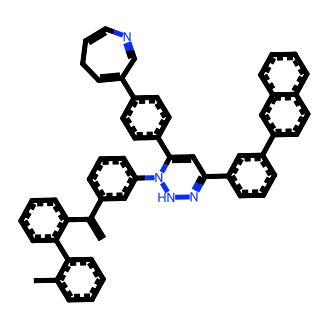 C=C(c1cccc(N2NN=C(c3cccc(-c4ccc5ccccc5c4)c3)C=C2c2ccc(C3=CCC=CN=C3)cc2)c1)c1ccccc1-c1ccccc1C